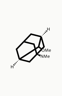 CN[C@]12CC3C[C@H](C1)C(OC)[C@@H](C3)C2